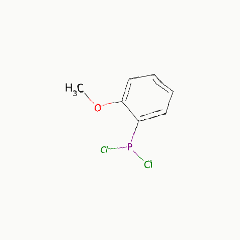 COc1ccccc1P(Cl)Cl